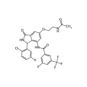 CC(=O)NCCOc1cc(NC(=O)c2cc(F)cc(C(F)(F)F)c2)c2c(c1)C(=O)NC2c1cc(F)ccc1Cl